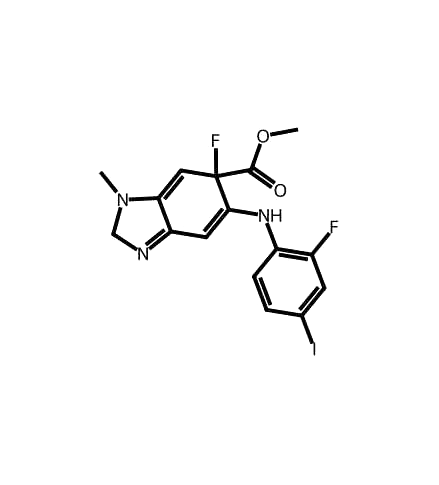 COC(=O)C1(F)C=C2C(=NCN2C)C=C1Nc1ccc(I)cc1F